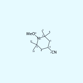 CON1C(C)(C)CC(C#N)CC1(C)C